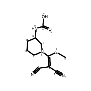 CSC(=C(C#N)C#N)N1CCC[C@@H](NC(=O)O)C1